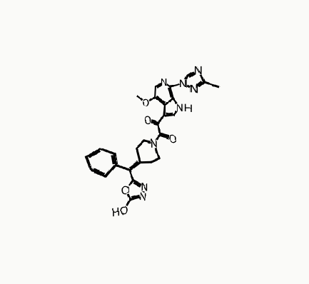 COc1cnc(-n2cnc(C)n2)c2[nH]cc(C(=O)C(=O)N3CCC(=C(c4ccccc4)c4nnc(O)o4)CC3)c12